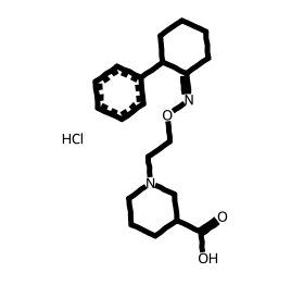 Cl.O=C(O)C1CCCN(CCON=C2CCCCC2c2ccccc2)C1